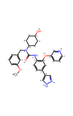 COc1cccc(CN(C(=O)Nc2ccc(-c3cn[nH]c3)cc2Oc2cccnc2)C2CCC(O)CC2)c1